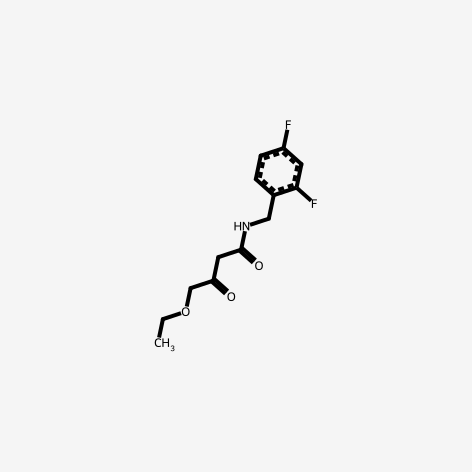 CCOCC(=O)CC(=O)NCc1ccc(F)cc1F